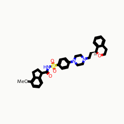 COc1cccc2c1CCC2C(=O)NS(=O)(=O)c1ccc(N2CCN(CC[C@@H]3OCCc4ccccc43)CC2)cc1